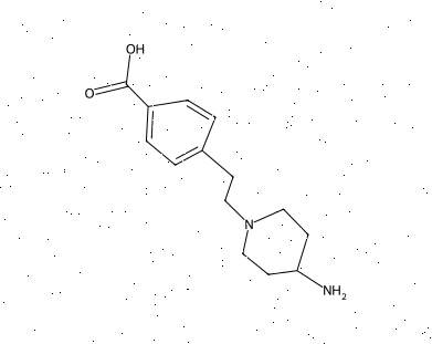 NC1CCN(CCc2ccc(C(=O)O)cc2)CC1